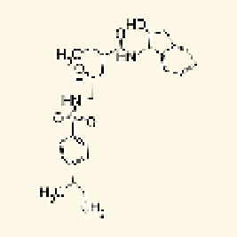 CCC(C)c1ccc(S(=O)(=O)NC[C@@H](O)C[C@@H](CC)C(=O)N[C@H]2c3ccccc3C[C@H]2O)cc1